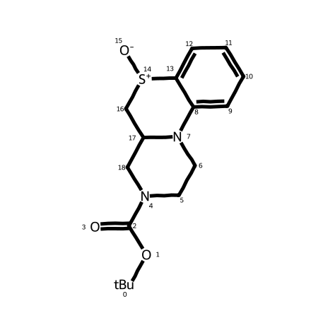 CC(C)(C)OC(=O)N1CCN2c3ccccc3[S+]([O-])CC2C1